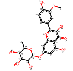 COc1cc(-c2oc3cc(O[C@@H]4OC(C)[C@H](O)[C@H](O)C4O)cc(O)c3c(=O)c2O)ccc1O